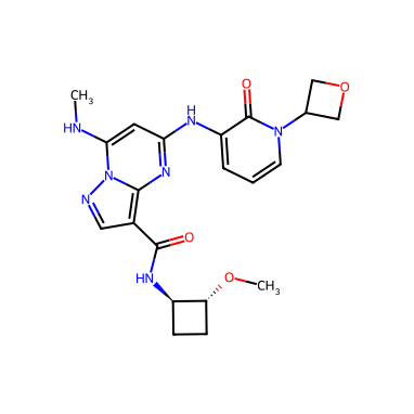 CNc1cc(Nc2cccn(C3COC3)c2=O)nc2c(C(=O)N[C@@H]3CC[C@H]3OC)cnn12